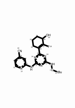 CC(C)(C)ONc1nc(Nc2cc(C#N)ccn2)nc(C2=C(F)C(O)CCC2)n1